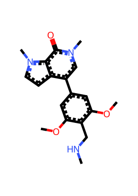 CNCc1c(OC)cc(-c2cn(C)c(=O)c3c2ccn3C)cc1OC